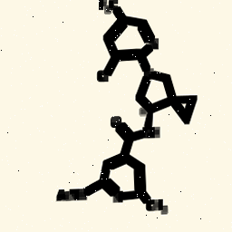 CC(=O)Nc1cc(C(=O)N[C@H]2CN(c3ncc(C(F)(F)F)cc3Cl)CC23CC3)cc(C)n1